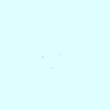 Cc1ccccc1S(=O)(=O)Oc1cccc(NC(=O)Nc2cccc(OS(=O)(=O)c3ccccc3C)c2)c1